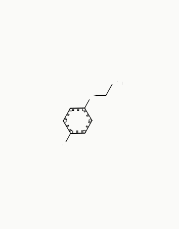 CCC(C)COc1ccc(S)cc1